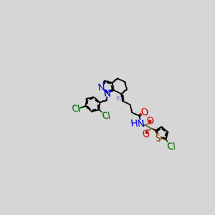 O=C(CC/C=C1\CCCc2cnn(Cc3ccc(Cl)cc3Cl)c21)NS(=O)(=O)c1ccc(Cl)s1